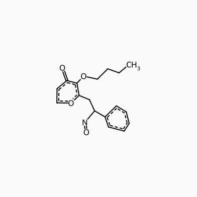 CCCCOc1c(CC(N=O)c2ccccc2)occc1=O